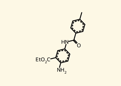 CCOC(=O)c1cc(NC(=O)c2ccc(C)cc2)ccc1N